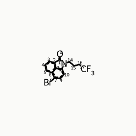 O=C1c2cccc3c(Br)ccc(c23)N1CCCC(F)(F)F